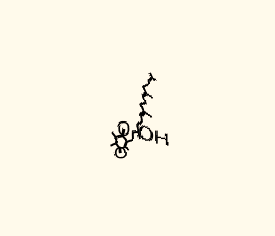 CC(C)=CCC/C(C)=C/CC/C(C)=C/CCC(C)(O)CCC1=C(C)C(=O)C(C)=C(C)C1=O